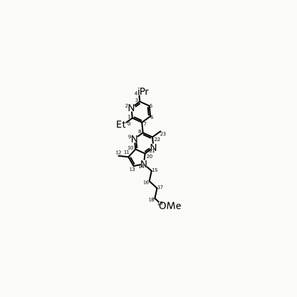 CCc1nc(C(C)C)ccc1-c1nc2c(C)cn(CCCCOC)c2nc1C